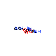 COc1cc2c(Oc3ccc4[nH]ccc4c3)ncnc2cc1OCCCN1CCC(N2CCCCC2)CC1